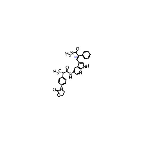 CC(C(=O)Nc1cnc2[nH]cc(/C=C(/C(N)=O)c3ccccc3)c2c1)c1ccc(N2CCOC2=O)cc1